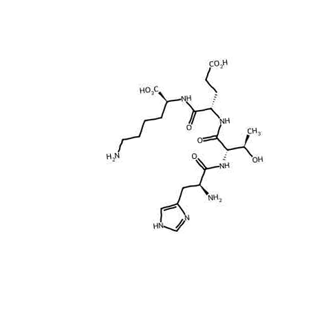 C[C@@H](O)[C@H](NC(=O)[C@@H](N)Cc1c[nH]cn1)C(=O)N[C@@H](CCC(=O)O)C(=O)N[C@@H](CCCCN)C(=O)O